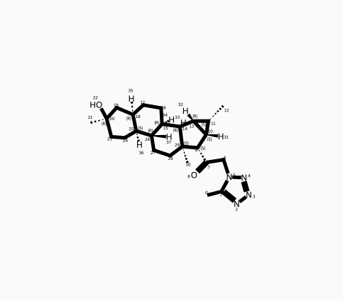 Cc1nnnn1CC(=O)[C@H]1[C@H]2[C@@H](C)[C@H]2[C@H]2[C@@H]3CC[C@@H]4C[C@](C)(O)CC[C@@H]4[C@H]3CC[C@@]21C